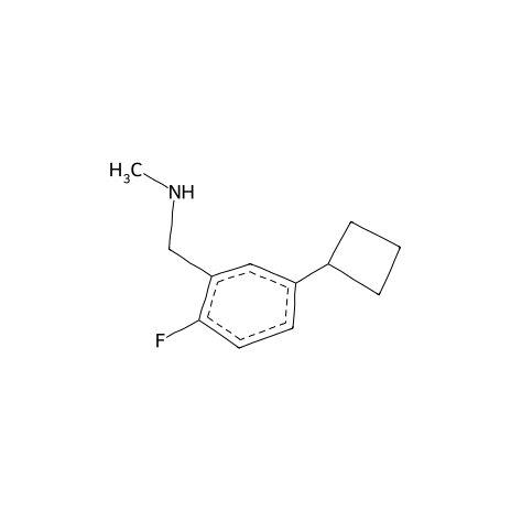 CNCc1cc(C2CCC2)ccc1F